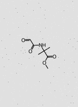 COC(=O)C(C)(C)NC(=O)C=O